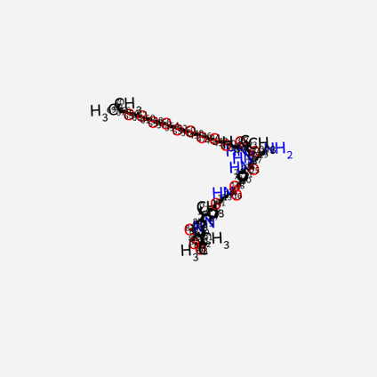 CCc1c2c(nc3ccc(OCCCNC(=O)OCc4ccc(NC(=O)[C@H](CCCCN)NC(=O)[C@@H](NC(=O)CCOCCOCCOCCOCCOCCOCCOCCOCCOCCC(C)C)C(C)C)cc4)cc13)-c1cc3c(c(=O)n1C2)COC(=O)[C@]3(C)CC